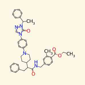 CCOC(=O)c1ccc(CNC(=O)C(Cc2ccccc2)C2CCN(c3ccc(-n4cnn(C(C)c5ccccc5)c4=O)cc3)CC2)cc1C